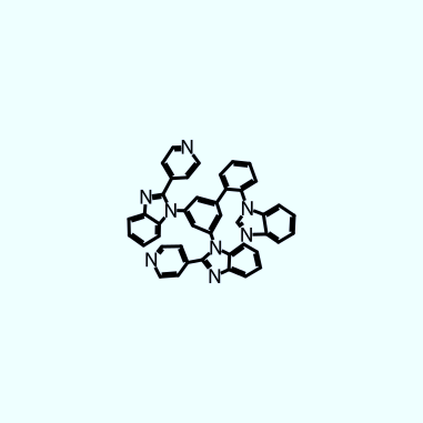 c1ccc(-n2cnc3ccccc32)c(-c2cc(-n3c(-c4ccncc4)nc4ccccc43)cc(-n3c(-c4ccncc4)nc4ccccc43)c2)c1